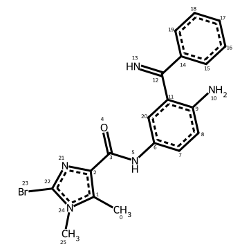 Cc1c(C(=O)Nc2ccc(N)c(C(=N)c3ccccc3)c2)nc(Br)n1C